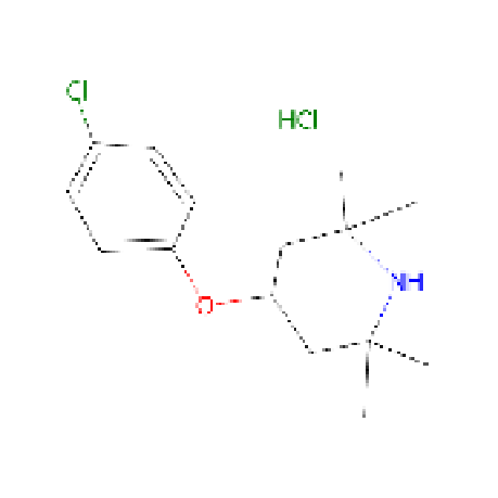 CC1(C)CC(Oc2ccc(Cl)cc2)CC(C)(C)N1.Cl